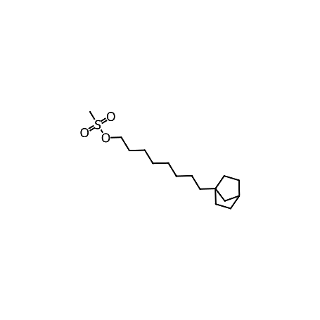 CS(=O)(=O)OCCCCCCCCC12CCC(CC1)C2